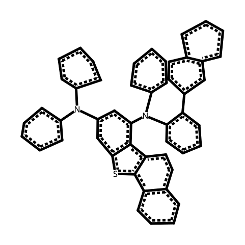 c1ccc(N(c2ccccc2)c2cc(N(c3ccccc3)c3ccccc3-c3ccc4ccccc4c3)c3c(c2)sc2c4ccccc4ccc23)cc1